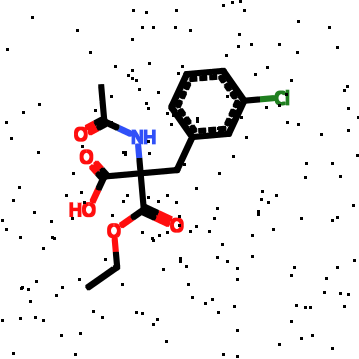 CCOC(=O)C(Cc1cccc(Cl)c1)(NC(C)=O)C(=O)O